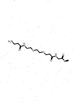 C=NC(=O)CNC(=O)CCOCCOCCNC(=O)CCN